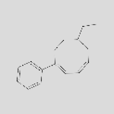 CCC1C/C=C\C=C(\c2ccccc2)CC1